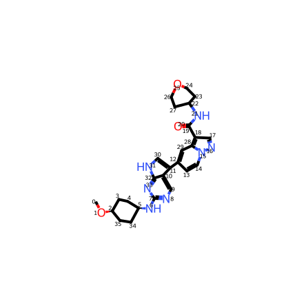 CO[C@H]1CC[C@@H](Nc2ncc3c(-c4ccn5ncc(C(=O)NC6CCOCC6)c5c4)c[nH]c3n2)CC1